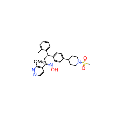 COc1nnccc1C(C[C@H](c1ccc(C2CCN(S(C)(=O)=O)CC2)cc1)c1ccccc1C)=NO